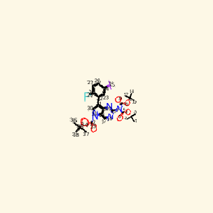 CC(C)(C)OC(=O)N(C(=O)OC(C)(C)C)c1ncc2c(n1)c(-c1cc(I)ccc1F)cn2C(=O)OC(C)(C)C